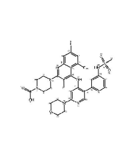 Cc1c(N2CCN(C(=O)O)CC2)nc2cc(F)cc(F)c2c1Nc1cc(N2CCOCC2)ncc1-c1cccc(NS(C)(=O)=O)c1